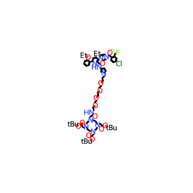 CCOc1ccccc1-c1ccc(N2CCN(C(=O)c3ccc(Cl)cc3C(F)F)C[C@H]2CC)c(C(=O)N[C@@H]2CCN(CCCOCCOCCOCCOCCNC(=O)CN3CCN(CC(=O)OC(C)(C)C)CCN(CC(=O)OC(C)(C)C)CCN(CC(=O)OC(C)(C)C)CC3)C2)n1